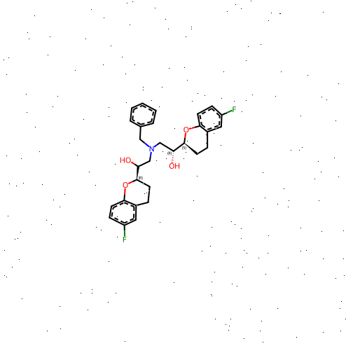 OC(CN(Cc1ccccc1)C[C@@H](O)[C@@H]1CCc2cc(F)ccc2O1)[C@H]1CCc2cc(F)ccc2O1